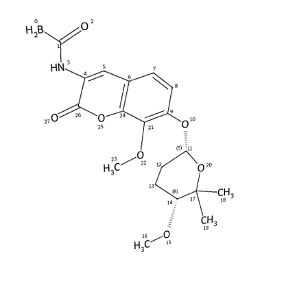 BC(=O)Nc1cc2ccc(O[C@H]3CC[C@@H](OC)C(C)(C)O3)c(OC)c2oc1=O